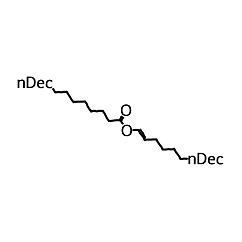 CCCCCCCCCCCCCC/C=C/OC(=O)CCCCCCCCCCCCCCCCC